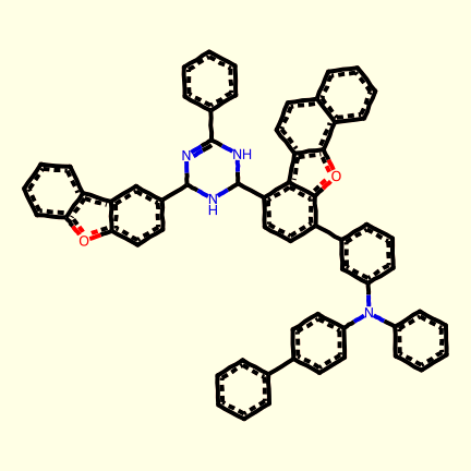 c1ccc(C2=NC(c3ccc4oc5ccccc5c4c3)NC(c3ccc(-c4cccc(N(c5ccccc5)c5ccc(-c6ccccc6)cc5)c4)c4oc5c6ccccc6ccc5c34)N2)cc1